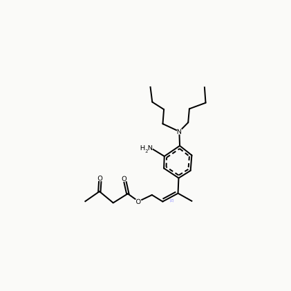 CCCCN(CCCC)c1ccc(/C(C)=C\COC(=O)CC(C)=O)cc1N